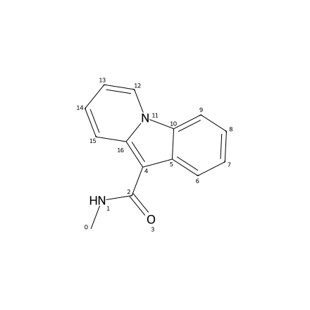 CNC(=O)c1c2ccccc2n2ccccc12